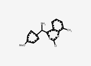 COc1ccc(C(N)c2nc(Cl)nc3c(C)cccc23)cc1